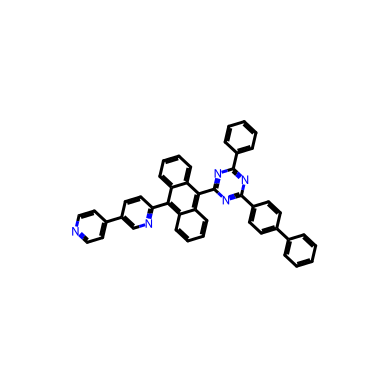 c1ccc(-c2ccc(-c3nc(-c4ccccc4)nc(-c4c5ccccc5c(-c5ccc(-c6ccncc6)cn5)c5ccccc45)n3)cc2)cc1